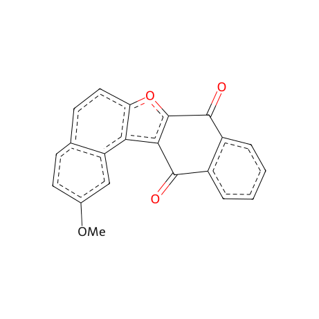 COc1ccc2ccc3oc4c(c3c2c1)C(=O)c1ccccc1C4=O